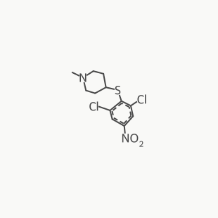 CN1CCC(Sc2c(Cl)cc([N+](=O)[O-])cc2Cl)CC1